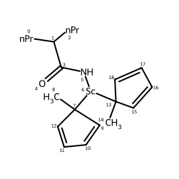 CCCC(CCC)C(=O)[NH][Sc]([C]1(C)C=CC=C1)[C]1(C)C=CC=C1